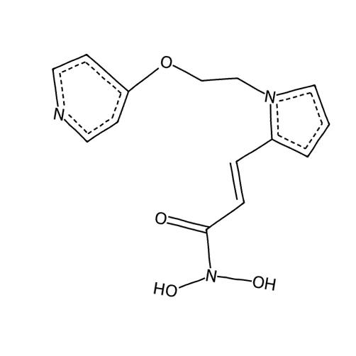 O=C(C=Cc1cccn1CCOc1ccncc1)N(O)O